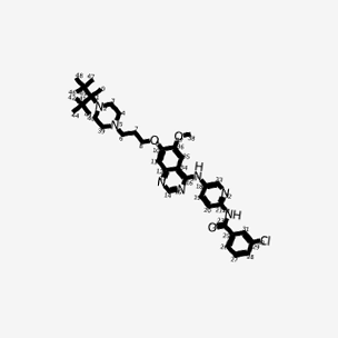 [CH2]C(N1CCN(CCCOc2cc3ncnc(Nc4ccc(NC(=O)c5cccc(Cl)c5)nc4)c3cc2OC)CC1)(C(C)(C)C)C(C)(C)C